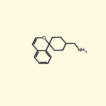 NCC1CCC2(CC1)OC=Cc1ccccc12